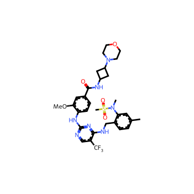 COc1cc(C(=O)NC2CC(N3CCOCC3)C2)ccc1Nc1ncc(C(F)(F)F)c(NCc2ccc(C)cc2N(C)S(C)(=O)=O)n1